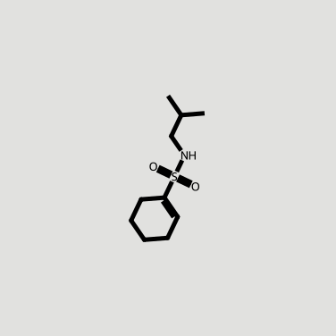 CC(C)CNS(=O)(=O)C1=CCCCC1